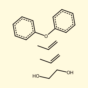 C=CC.C=CC.OCCO.c1ccc(Oc2ccccc2)cc1